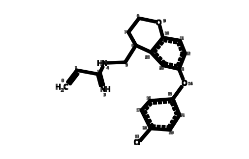 C=CC(=N)NCC1CCOc2ccc(Oc3ccc(Cl)cc3)cc21